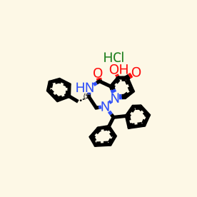 Cl.O=C1N[C@@H](Cc2ccccc2)CN(C(c2ccccc2)c2ccccc2)n2ccc(=O)c(O)c21